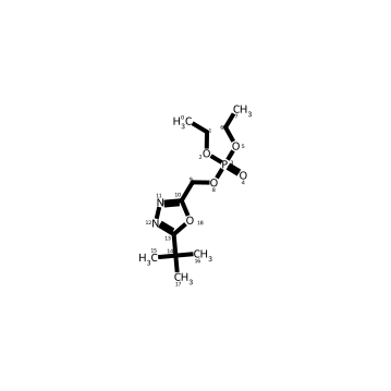 CCOP(=O)(OCC)OCc1nnc(C(C)(C)C)o1